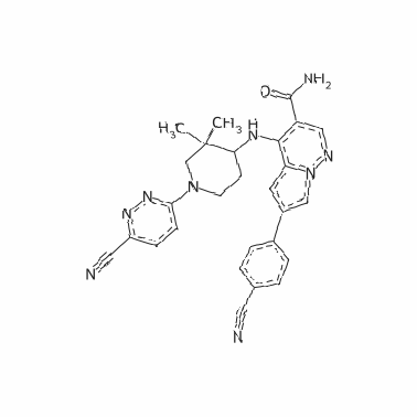 CC1(C)CN(c2ccc(C#N)nn2)CCC1Nc1c(C(N)=O)cnn2cc(-c3ccc(C#N)cc3)cc12